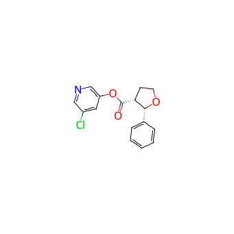 O=C(Oc1cncc(Cl)c1)[C@@H]1CCO[C@@H]1c1ccccc1